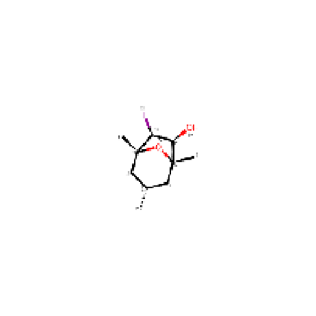 C[C@@H]1C[C@@]2(C)O[C@@](C)(C1)[C@H](O)[C@@H]2I